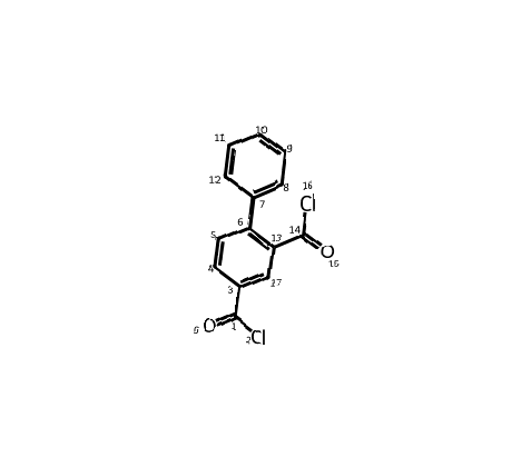 O=C(Cl)c1ccc(-c2ccccc2)c(C(=O)Cl)c1